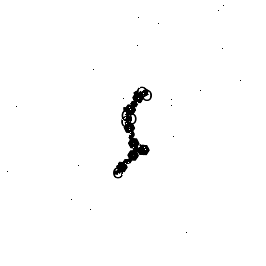 COc1ccc(C=Cc2ccc(N(c3ccccc3)c3ccc(C=Cc4ccc(OC(=O)Oc5ccc(C(C)(C)c6ccc(OC(C)=O)c(C)c6)cc5C)cc4)cc3)cc2)cc1